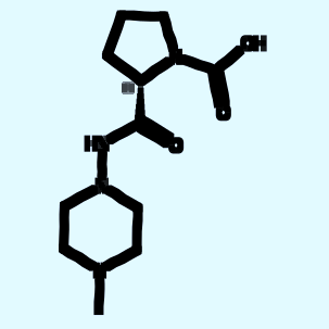 CN1CCN(NC(=O)[C@@H]2CCCN2C(=O)O)CC1